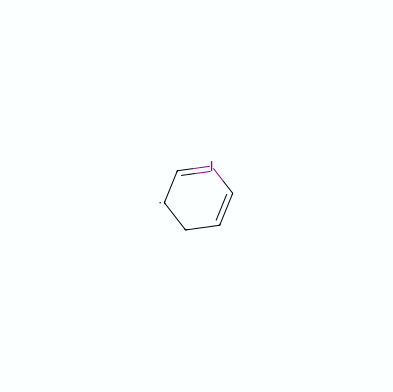 [CH]1C=IC=CC1